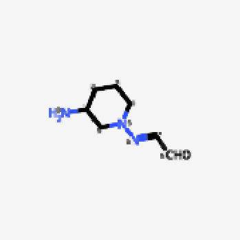 NC1CCCN(/N=C/C=O)C1